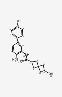 Nc1ccc(-c2ccc(F)cc2)cc1NC(=O)C1CC2(CC(O)C2)C1